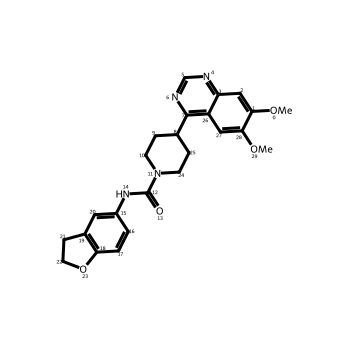 COc1cc2ncnc(C3CCN(C(=O)Nc4ccc5c(c4)CCO5)CC3)c2cc1OC